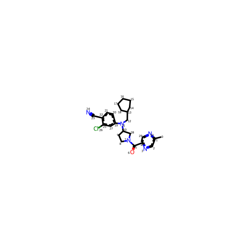 Cc1cnc(C(=O)N2CCC(N(CC3CCCCC3)c3ccc(C#N)c(Cl)c3)C2)cn1